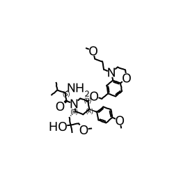 COCCCN1CCOc2ccc(CO[C@H]3CN(C(=O)[C@@H](N)C(C)C)[C@@H](CC(C)(O)COC)C[C@@H]3c3ccc(OC)cc3)cc21